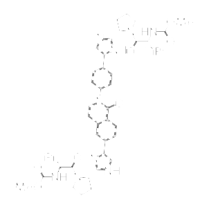 COC(=O)N[C@H](C(=O)N1CCC[C@H]1c1nc(-c2ccc3c(=O)n(-c4ccc(-c5cnc([C@@H]6CCCN6C(=O)[C@@H](NC(=O)OC)C(C)C)[nH]5)cc4)ccc3c2)c[nH]1)C(C)C